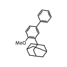 COc1ccc(-c2ccccc2)cc1C12CC3CC(CC(C3)C1)C2